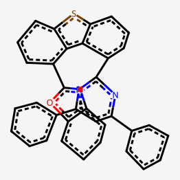 c1ccc(-c2cc(-c3ccccc3)nc(-c3cccc4sc5cccc(-c6nc7ccccc7o6)c5c34)n2)cc1